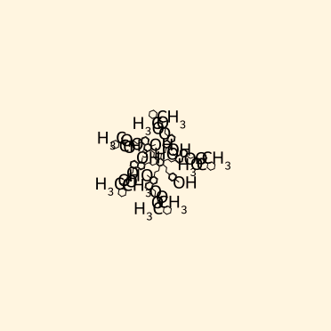 CC(C)(OC(=O)COc1cccc2c(O)c(CCc3c(CCc4ccc(O)cc4)c(CCc4ccc5c(OCC(=O)OC(C)(C)C6CCCCC6)cccc5c4O)c(CCc4ccc5c(OCC(=O)OC(C)(C)C6CCCCC6)cccc5c4O)c(CCc4ccc5c(OCC(=O)OC(C)(C)C6CCCCC6)cccc5c4O)c3CCc3ccc4c(OCC(=O)OC(C)(C)C5CCCCC5)cccc4c3O)ccc12)C1CCCCC1